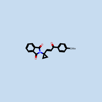 COc1ccc(C(=O)/C=C/C2(N3C(=O)c4ccccc4C3=O)CC2)cc1